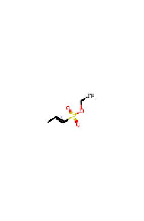 C/C=C/S(=O)(=O)OCC(F)(F)F